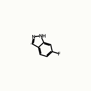 Fc1ccc2[c]n[nH]c2c1